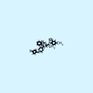 C=C(Nc1ccc(C)cc1Cl)C(N)Sc1nc2ccccc2n1CC1CCN(Cc2ccc(F)cc2)CC1